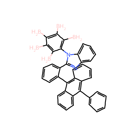 Bc1c(B)c(B)c(-n2c(-c3ccccc3-c3c4ccccc4c(-c4ccccc4)c4ccccc34)nc3ccccc32)c(B)c1B